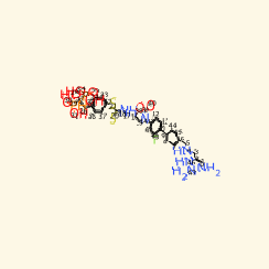 N/C=C(/CNCc1ccc(-c2ccc(N3C[C@H](CNC(=S)Sc4ccc(CC(O)([PH](=O)O)P(=O)(O)O)cc4)OC3=O)cc2F)cc1)NN